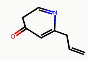 C=CCC1=CC(=O)CC=N1